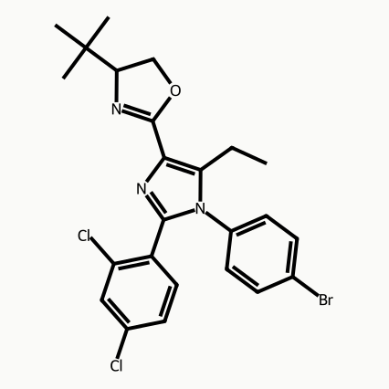 CCc1c(C2=NC(C(C)(C)C)CO2)nc(-c2ccc(Cl)cc2Cl)n1-c1ccc(Br)cc1